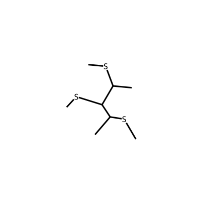 CSC(C)C(SC)C(C)SC